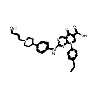 CCc1ccc(-n2cc(C(=O)O)c(=O)c3cnc(Nc4ccc(C5CCN(CCCO)CC5)cc4)nc32)cc1